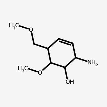 COCC1C=CC(N)C(O)C1OC